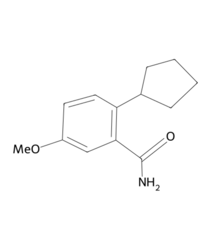 COc1ccc(C2CCCC2)c(C(N)=O)c1